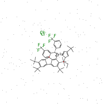 CCCC1C=C(C(C)(C)C)C=[C]1[Zr+2](=[C](c1cccc(C(F)(F)F)c1)c1cccc(C(F)(F)F)c1)[c]1c2c(cc(C(C)(C)C)c1C(C)(C)C)-c1cc(C(C)(C)C)c(C(C)(C)C)cc1C2.[Cl-].[Cl-]